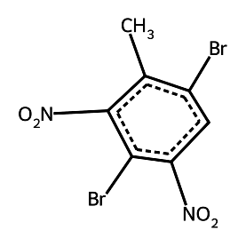 Cc1c(Br)cc([N+](=O)[O-])c(Br)c1[N+](=O)[O-]